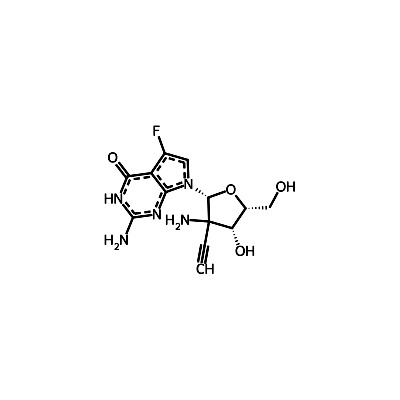 C#CC1(N)[C@@H](O)[C@@H](CO)O[C@H]1n1cc(F)c2c(=O)[nH]c(N)nc21